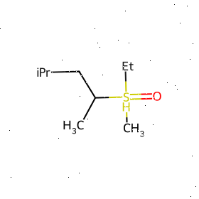 CC[SH](C)(=O)C(C)CC(C)C